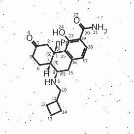 CCC[C@]12CC(=O)CC[C@H]1[C@H](NCC1CCC1)Cc1ccc(C(N)=O)c(O)c12